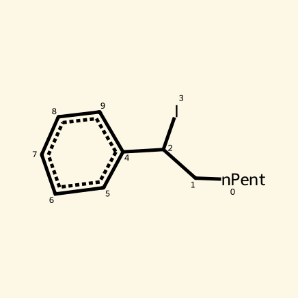 CCCCCCC(I)c1ccccc1